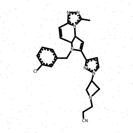 Cc1nnc2n1C1C=C(c3ccn(C4CN(CCC#N)C4)n3)N(Cc3cccc(Cl)c3)C1C=C2